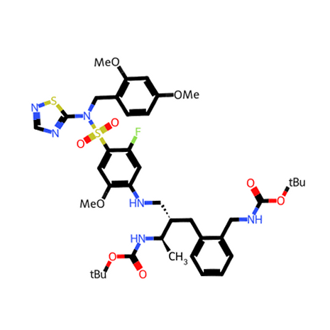 COc1ccc(CN(c2ncns2)S(=O)(=O)c2cc(OC)c(NC[C@H](Cc3ccccc3CNC(=O)OC(C)(C)C)[C@@H](C)NC(=O)OC(C)(C)C)cc2F)c(OC)c1